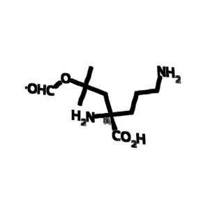 CC(C)(C[C@@](N)(CCCN)C(=O)O)O[C]=O